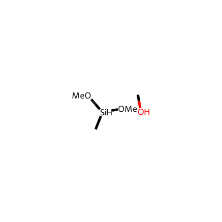 CO.CO[SiH](C)OC